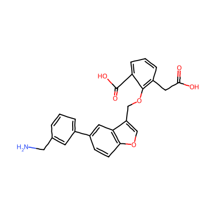 NCc1cccc(-c2ccc3occ(COc4c(CC(=O)O)cccc4C(=O)O)c3c2)c1